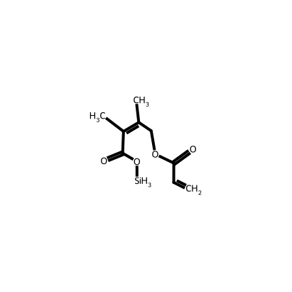 C=CC(=O)OCC(C)=C(C)C(=O)O[SiH3]